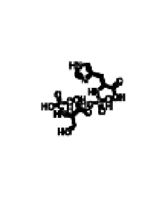 O=C(O)C(CO)NP(=O)(O)O.O=C(O)C(Cc1c[nH]cn1)NP(=O)(O)O